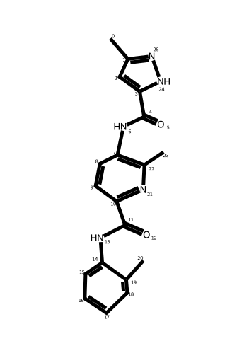 Cc1cc(C(=O)Nc2ccc(C(=O)Nc3ccccc3C)nc2C)[nH]n1